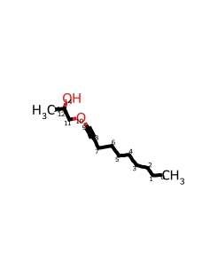 CCCCCCCCC#COCC(C)O